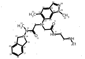 CCNCCNC(=O)CN(CC(=O)N(C)N1Cc2ccccc2C1)c1cc2c(cnn2C)cc1C